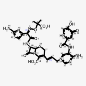 CC(C)(O/N=C(\C(=O)N[C@@H]1C(=O)N2C(C(=O)O)=C(/C=C/C[n+]3cnc(N)c(NC(=O)c4cc(=O)c(O)c[nH]4)c3)CSC12)c1csc(N)n1)C(=O)O